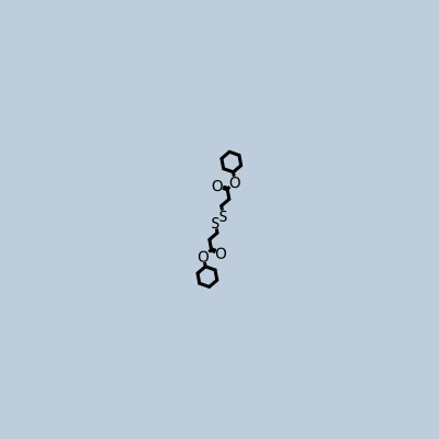 O=C(CCSSCCC(=O)OC1CCCCC1)OC1CCCCC1